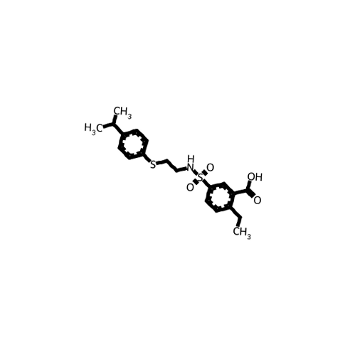 CCc1ccc(S(=O)(=O)NCCSc2ccc(C(C)C)cc2)cc1C(=O)O